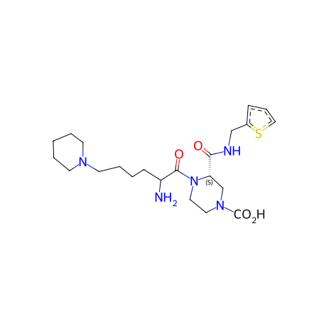 NC(CCCCN1CCCCC1)C(=O)N1CCN(C(=O)O)C[C@H]1C(=O)NCc1cccs1